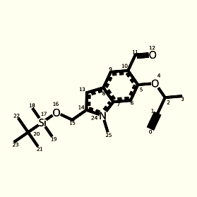 C#CC(C)Oc1cc2c(cc1C=O)cc(CO[Si](C)(C)C(C)(C)C)n2C